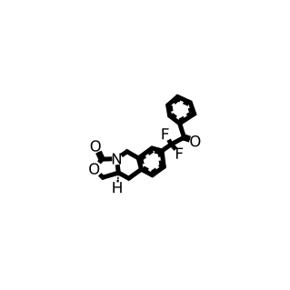 O=C1OC[C@@H]2Cc3ccc(C(F)(F)C(=O)c4ccccc4)cc3CN12